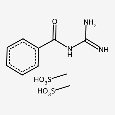 CS(=O)(=O)O.CS(=O)(=O)O.N=C(N)NC(=O)c1ccccc1